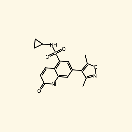 Cc1noc(C)c1-c1cc(S(=O)(=O)NC2CC2)c2ccc(=O)[nH]c2c1